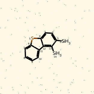 [SiH3]c1ccc2sc3ccccc3c2c1[SiH3]